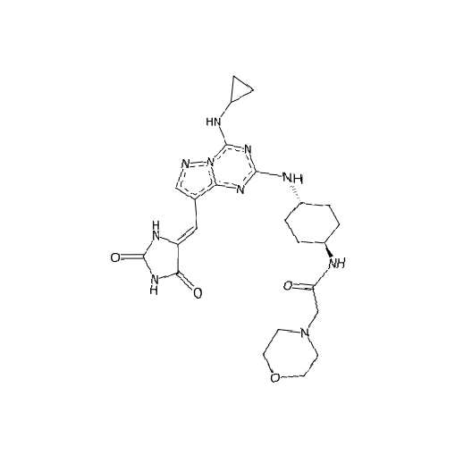 O=C1NC(=O)/C(=C/c2cnn3c(NC4CC4)nc(N[C@H]4CC[C@H](NC(=O)CN5CCOCC5)CC4)nc23)N1